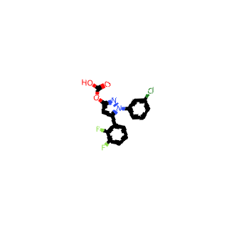 O=C(O)Oc1cc(-c2cccc(F)c2F)n(-c2cccc(Cl)c2)n1